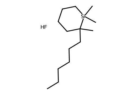 CCCCCCC1(C)CCCC[Si]1(C)C.F